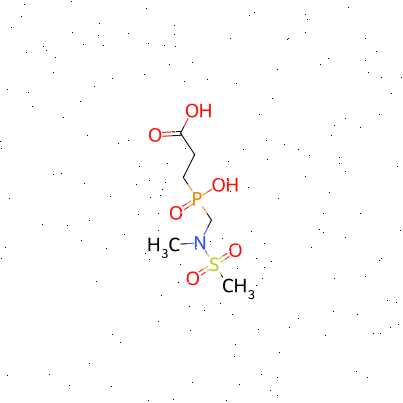 CN(CP(=O)(O)CCC(=O)O)S(C)(=O)=O